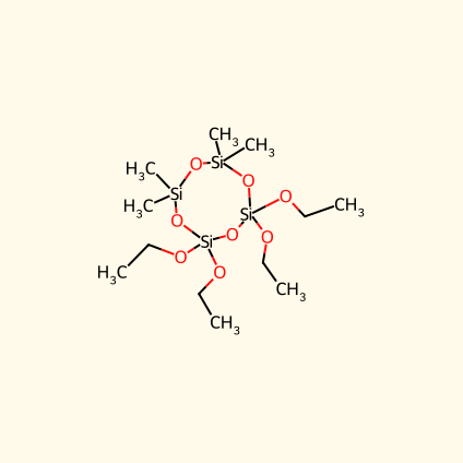 CCO[Si]1(OCC)O[Si](C)(C)O[Si](C)(C)O[Si](OCC)(OCC)O1